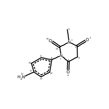 CN1C(=O)CC(=O)N(c2ccc(N)cc2)C1=O